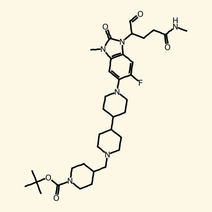 CNC(=O)CCC(C=O)n1c(=O)n(C)c2cc(N3CCC(C4CCN(CC5CCN(C(=O)OC(C)(C)C)CC5)CC4)CC3)c(F)cc21